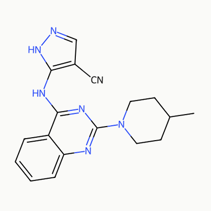 CC1CCN(c2nc(Nc3[nH]ncc3C#N)c3ccccc3n2)CC1